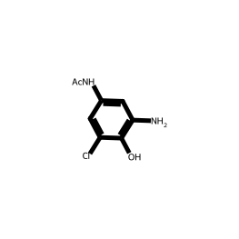 CC(=O)Nc1cc(N)c(O)c(Cl)c1